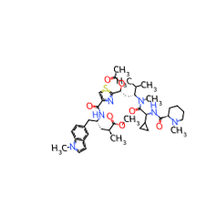 COC(=O)[C@@H](C)C[C@H](Cc1ccc2c(ccn2C)c1)NC(=O)c1csc([C@@H](C[C@H](C(C)C)N(C)C(=O)[C@@H](NC(=O)[C@H]2CCCCN2C)C2CC2)OC(C)=O)n1